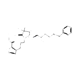 COC(=O)c1sccc1CCCN1C(=O)C(F)(F)C[C@@H]1/C=C/[C@@H](O)CCCCc1ccccc1